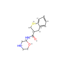 O=C(NC1CNCCO1)C(CS)Cc1ccccc1